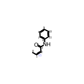 C/[C]=C\C(=O)Nc1ccccc1